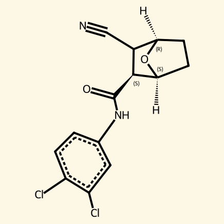 N#CC1[C@H]2CC[C@H](O2)[C@H]1C(=O)Nc1ccc(Cl)c(Cl)c1